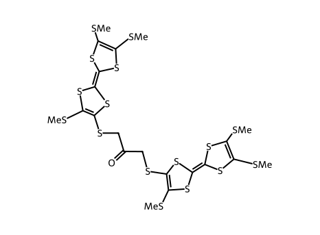 CSC1=C(SC)SC(=C2SC(SC)=C(SCC(=O)CSC3=C(SC)SC(=C4SC(SC)=C(SC)S4)S3)S2)S1